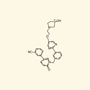 N#Cc1cccc(-c2ccc(=O)n(Cc3cccc(-c4ncc(OCCN5CC[C@@H](O)C5)cn4)c3)n2)c1